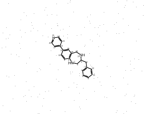 c1ccc(CC2CNc3ccc(-c4ccncc4)cc3CN2)cc1